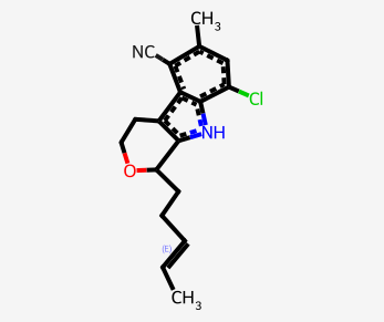 C/C=C/CCC1OCCc2c1[nH]c1c(Cl)cc(C)c(C#N)c21